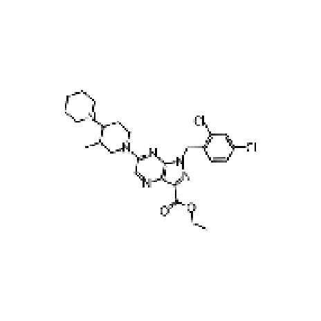 CCOC(=O)c1nn(Cc2ccc(Cl)cc2Cl)c2nc(N3CCC(N4CCCCC4)C(C)C3)cnc12